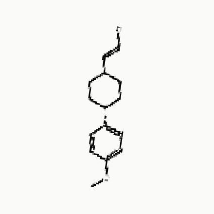 COc1ccc([C@H]2CC[C@H](/C=C/Cl)CC2)nc1